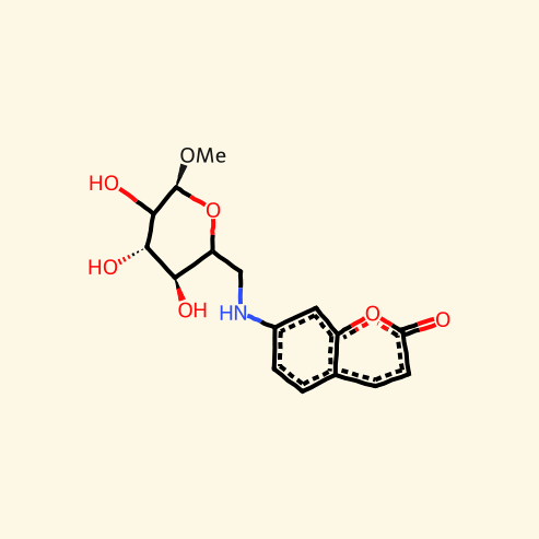 CO[C@H]1OC(CNc2ccc3ccc(=O)oc3c2)[C@@H](O)[C@H](O)C1O